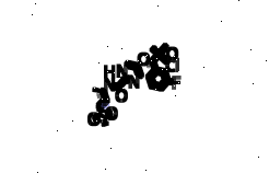 C[C@H](/C=C/S(C)(=O)=O)NC(=O)c1ncc(O[C@@H](c2cccc(F)c2Cl)C2(C)COC2)cn1